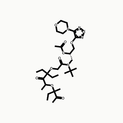 CCC(C)(OC(C)C(=O)C(CC)(CC)OCC(=O)N(C[C@@H](COc1nsnc1N1CCOCC1)OC(C)=O)C(C)(C)C)C(C)=O